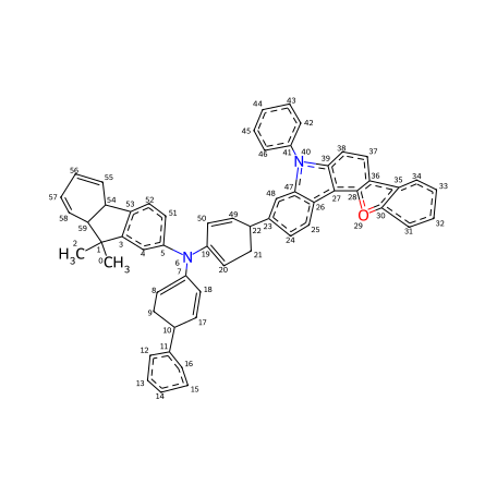 CC1(C)c2cc(N(C3=CCC(c4ccccc4)C=C3)C3=CCC(c4ccc5c6c7oc8ccccc8c7ccc6n(-c6ccccc6)c5c4)C=C3)ccc2C2C=CC=CC21